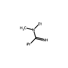 CCN(C)C(=N)C(C)C